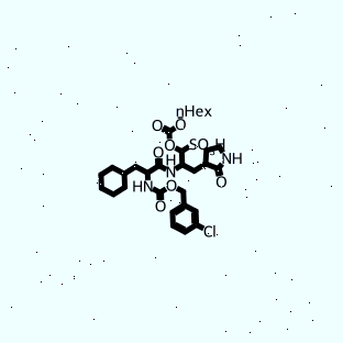 CCCCCCOC(=O)OC(C(CC1CCNC1=O)NC(=O)C(CC1CCCCC1)NC(=O)OCc1cccc(Cl)c1)S(=O)(=O)O